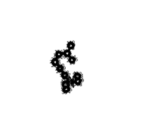 c1ccc(-c2cc(-c3ccccc3)cc(-c3cccc(-c4cccc(-c5ccc(-c6ccc(-c7nc(-c8cccc9ccccc89)nc8c7ccc7ccccc78)cc6)cc5)c4)c3)c2)cc1